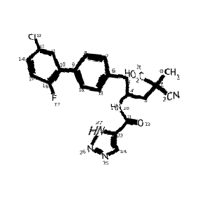 CC(C#N)(CC(Cc1ccc(-c2cc(Cl)ccc2F)cc1)NC(=O)c1cnn[nH]1)C(=O)O